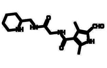 Cc1[nH]c(C=O)c(C)c1C(=O)NCC(=O)NCC1CCCCN1